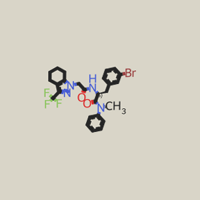 CN(C(=O)[C@H](Cc1cccc(Br)c1)NC(=O)Cn1nc(C(F)(F)F)c2c1CCCC2)c1ccccc1